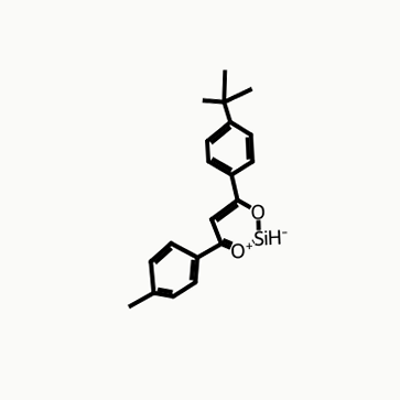 Cc1ccc(C2=[O+][SiH-]OC(c3ccc(C(C)(C)C)cc3)=C2)cc1